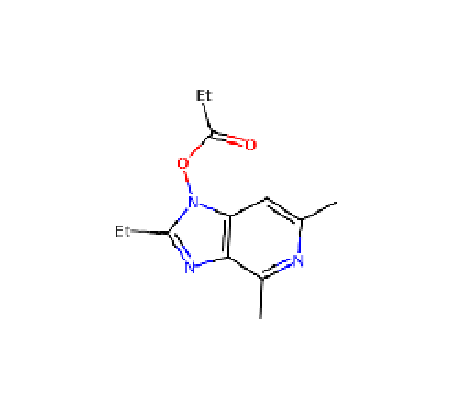 CCC(=O)On1c(CC)nc2c(C)nc(C)cc21